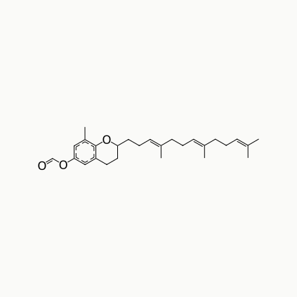 CC(C)=CCC/C(C)=C/CC/C(C)=C/CCC1CCc2cc(OC=O)cc(C)c2O1